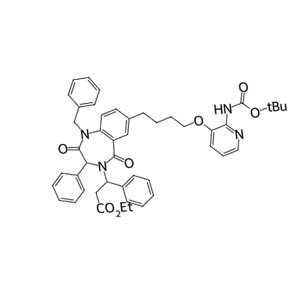 CCOC(=O)CC(c1ccccc1)N1C(=O)c2cc(CCCCOc3cccnc3NC(=O)OC(C)(C)C)ccc2N(Cc2ccccc2)C(=O)C1c1ccccc1